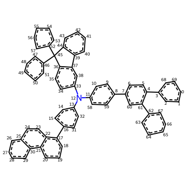 c1ccc(-c2ccc(-c3ccc(N(c4ccc(-c5cccc6c5ccc5ccccc56)cc4)c4ccc5c(c4)-c4ccccc4C5(c4ccccc4)c4ccccc4)cc3)cc2-c2ccccc2)cc1